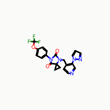 O=C1N(c2ccc(OC(F)(F)F)cc2)C(=O)C2(CC2)N1Cc1ccncc1-n1cccn1